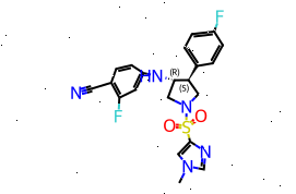 Cn1cnc(S(=O)(=O)N2C[C@H](Nc3ccc(C#N)c(F)c3)[C@@H](c3ccc(F)cc3)C2)c1